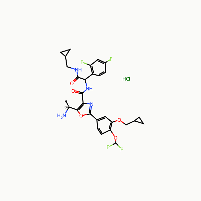 C[C@H](N)c1oc(-c2ccc(OC(F)F)c(OCC3CC3)c2)nc1C(=O)NC(C(=O)NCC1CC1)c1ccc(F)cc1F.Cl